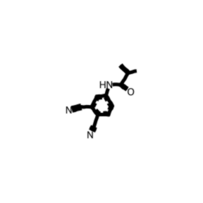 C=C(C)C(=O)Nc1ccc(C#N)c(C#N)c1